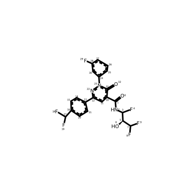 O=C(NC(F)[C@H](O)C(F)F)c1cc(-c2ccc(C(F)F)cc2)nn(-c2cccc(F)c2)c1=O